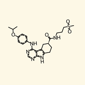 CC(C)Oc1ccc(Nc2ncnc3[nH]c4c(c23)C[C@@H](C(=O)NCCCS(C)(=O)=O)CC4)cc1